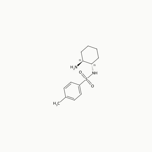 Cc1ccc(S(=O)(=O)N[C@H]2CCCC[C@@H]2N)cc1